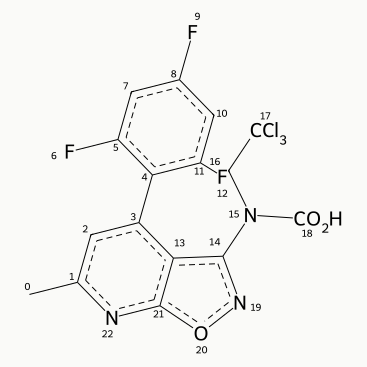 Cc1cc(-c2c(F)cc(F)cc2F)c2c(N(CC(Cl)(Cl)Cl)C(=O)O)noc2n1